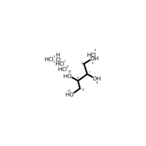 Cl.Cl.Cl.Cl.Cl.OCC(O)C(O)CO